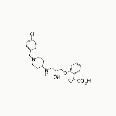 O=C(O)C1(c2ccccc2OC[C@H](O)CNC2CCN(Cc3ccc(Cl)cc3)CC2)CC1